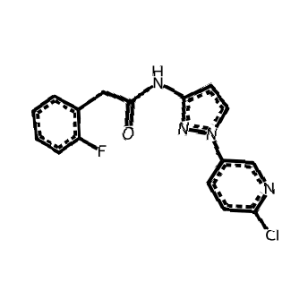 O=C(Cc1ccccc1F)Nc1ccn(-c2ccc(Cl)nc2)n1